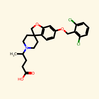 CC(CCC(=O)O)N1CCC2(CC1)COc1cc(OCc3c(Cl)cccc3Cl)ccc12